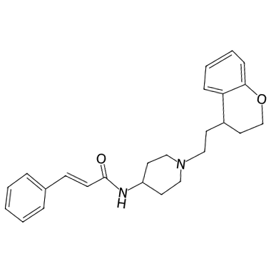 O=C(C=Cc1ccccc1)NC1CCN(CCC2CCOc3ccccc32)CC1